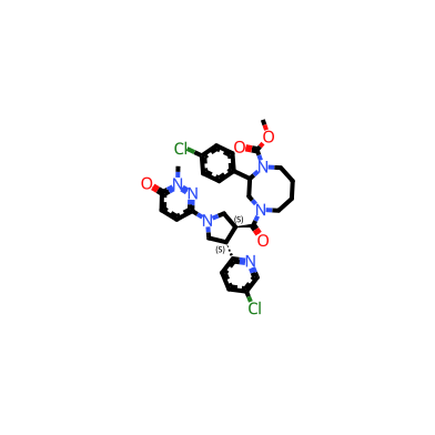 COC(=O)N1CCCCN(C(=O)[C@@H]2CN(c3ccc(=O)n(C)n3)C[C@H]2c2ccc(Cl)cn2)CC1c1ccc(Cl)cc1